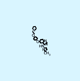 Cn1ccc(Nc2ncnc3ccc(Oc4ccc(OCCN5CCCCC5)cc4)cc23)n1